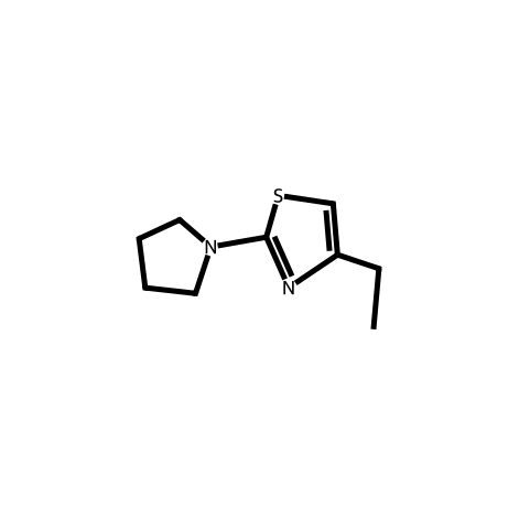 CCc1csc(N2CCCC2)n1